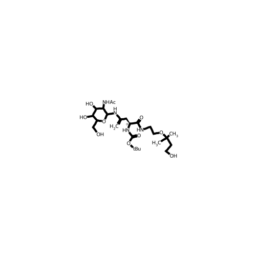 C=C(C[C@H](NC(=O)OC(C)(C)C)C(=O)NCCOC(C)(C)CCO)NC1OC(CO)C(O)C(O)C1NC(C)=O